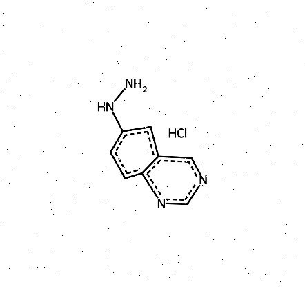 Cl.NNc1ccc2ncncc2c1